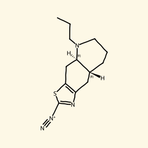 CCCN1CCC[C@@H]2Cc3nc([N+]#N)sc3C[C@H]21